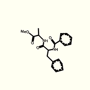 COC(=O)C(C)NC(=O)C(Cc1ccccc1)NC(=O)c1ccccc1